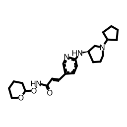 O=C(C=Cc1ccc(N[C@@H]2CCCN(C3CCCC3)C2)nc1)NOC1CCCCO1